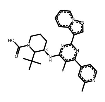 Cc1cc(-c2nc(-c3cnn4ccccc34)nc(N[C@@H]3CCCN(C(=O)O)C3C(C)(C)C)c2F)ccn1